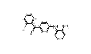 Nc1ccccc1Nc1ccc(C(=O)c2ccccc2F)cc1